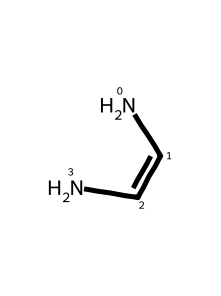 N/C=C\N